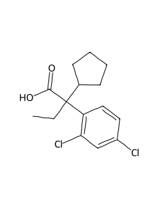 CCC(C(=O)O)(c1ccc(Cl)cc1Cl)C1CCCC1